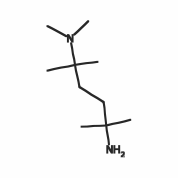 CN(C)C(C)(C)CCC(C)(C)N